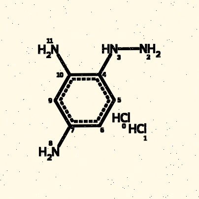 Cl.Cl.NNc1ccc(N)cc1N